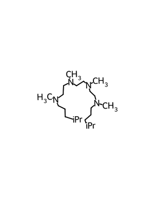 CC(C)CCCN(C)CCN(C)CCN(C)CCN(C)CCCC(C)C